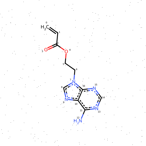 C=CC(=O)OCCn1cnc2c(N)ncnc21